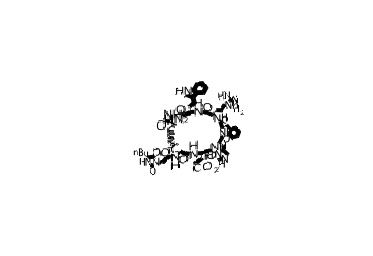 CCCC[C@@H]1NC(=O)N(CC(=O)N[C@H]2CSSC[C@@H](C(N)=O)NC(=O)[C@H](CCc3c[nH]c4ccccc34)NC(=O)[C@H](CCCNC(=N)N)NC(=O)[C@@H](Cc3ccccc3)NC(=O)[C@H](CC3CN=CN3)NC(=O)[C@H](CCC(=O)O)NC2=O)C1=O